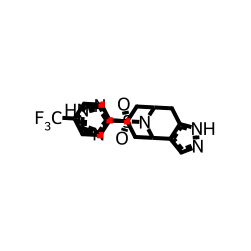 O=S(=O)(c1ccc(C(F)(F)F)cc1)N1C2Cc3[nH]ncc3C1CC(c1nc[nH]n1)C2